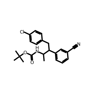 CC(NC(=O)OC(C)(C)C)C(Cc1ccc(Cl)cc1)c1cccc(C#N)c1